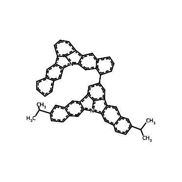 CC(C)c1ccc2cc3c(cc2c1)c1cc(-c2cccc4cc5c6cccc7c8cc9ccccc9cc8n(c5cc24)c76)cc2c4cc5cc(C(C)C)ccc5cc4n3c12